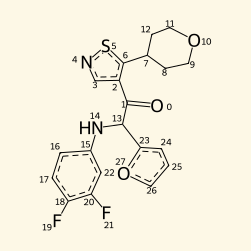 O=C(c1cnsc1C1CCOCC1)C(Nc1ccc(F)c(F)c1)c1ccco1